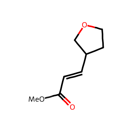 COC(=O)C=CC1CCOC1